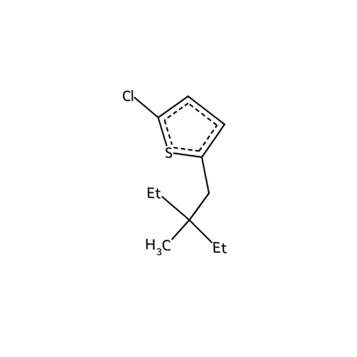 CCC(C)(CC)Cc1ccc(Cl)s1